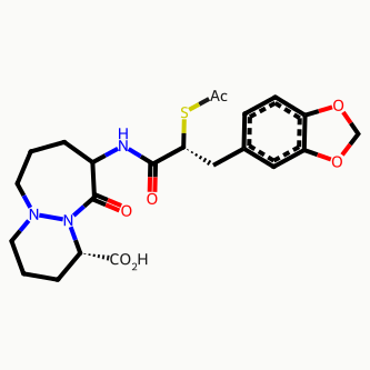 CC(=O)S[C@H](Cc1ccc2c(c1)OCO2)C(=O)NC1CCCN2CCC[C@@H](C(=O)O)N2C1=O